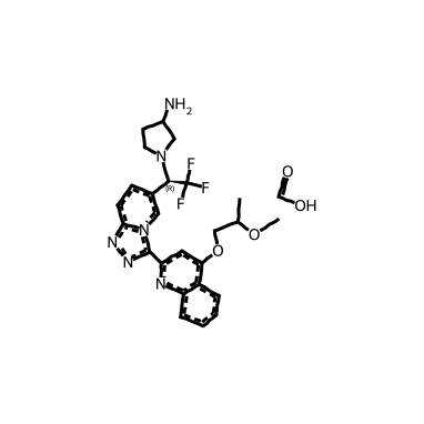 COC(C)COc1cc(-c2nnc3ccc([C@@H](N4CCC(N)C4)C(F)(F)F)cn23)nc2ccccc12.O=CO